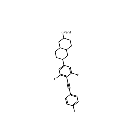 CCCCCC1CCC2CC(c3cc(F)c(C#Cc4ccc(C)cc4)c(F)c3)CCC2C1